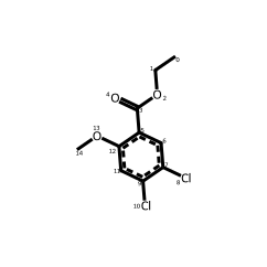 CCOC(=O)c1cc(Cl)c(Cl)cc1OC